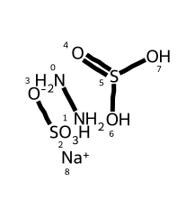 NN.O=S(=O)([O-])O.O=S(O)O.[Na+]